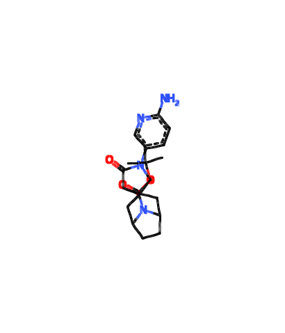 CC(C)(C)OC(=O)N1C2CCC1CC1(CC(=O)N(c3ccc(N)nc3)C1)C2